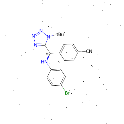 CC(C)(C)n1nnnc1[C@H](Nc1ccc(Br)cc1)c1ccc(C#N)cc1